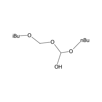 CCCCOC(O)OCOC(C)CC